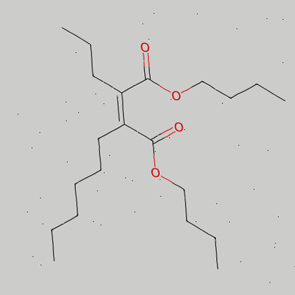 CCCCCC/C(C(=O)OCCCC)=C(\CCC)C(=O)OCCCC